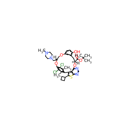 Cc1c(Cl)c2c(Cl)c(C)c1-c1c(C3CCC3)sc3ncnc(c13)O[C@@H](C(=O)OC(C)(C)C)Cc1cc(ccc1O)OC[C@@H](CN1CCN(C)CC1)O2